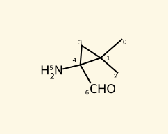 CC1(C)CC1(N)C=O